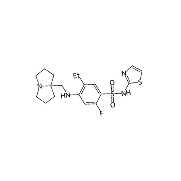 CCc1cc(S(=O)(=O)Nc2nccs2)c(F)cc1NCC12CCCN1CCC2